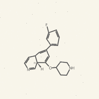 Fc1cccc(C2=CC3C=CN=C[C@H]3C(OC3CCNCC3)=C2)c1